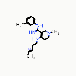 C/C=C/CCNC1=C(C(=N)Nc2cccc(C)c2)CN(C)CC1